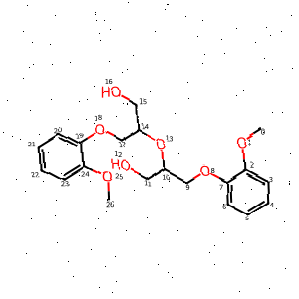 COc1ccccc1OCC(CO)OC(CO)COc1ccccc1OC